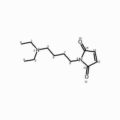 CCN(CC)CCCCN1C(=O)C=CC1=O